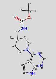 CC1(CNC(=O)OC(C)(C)C)CCN(c2ncnc3[nH]ccc23)CC1